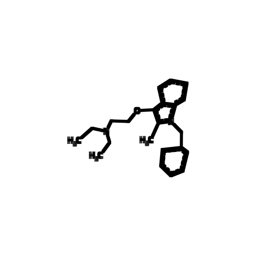 CCN(CC)CCOc1c(C)n(Cc2ccccc2)c2ccccc12